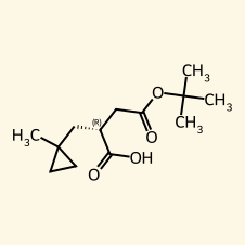 CC1(C[C@H](CC(=O)OC(C)(C)C)C(=O)O)CC1